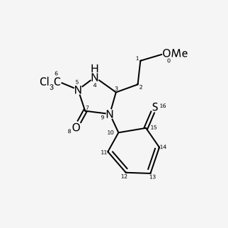 COCCC1NN(C(Cl)(Cl)Cl)C(=O)N1C1C=CC=CC1=S